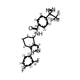 O=C(NC1CCCc2c1cnn2-c1ccc(F)cc1F)c1ccc(C2(C(F)(F)F)N=N2)cc1